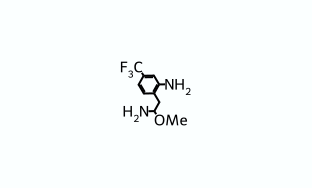 COC(N)Cc1ccc(C(F)(F)F)cc1N